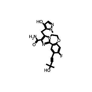 Cn1ncc(O)c1Cc1c(C(N)=O)nc2n1CCOc1cc(F)c(C#CC(C)(C)O)cc1-2